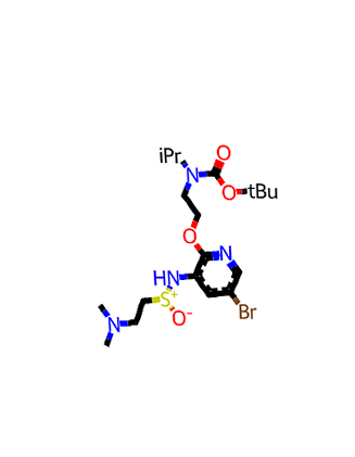 CC(C)N(CCOc1ncc(Br)cc1N[S+]([O-])CCN(C)C)C(=O)OC(C)(C)C